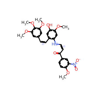 COc1cc(N/C=C\C(=O)c2ccc(OC)c([N+](=O)[O-])c2)c(/C=C\c2cc(OC)c(OC)c(OC)c2)cc1O